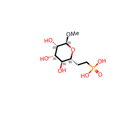 CO[C@H]1O[C@H](CCP(=O)(O)O)[C@@H](O)[C@H](O)[C@@H]1O